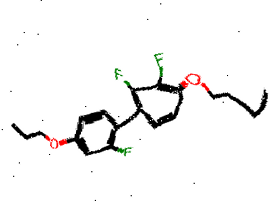 CCCCOc1ccc(-c2ccc(OCCC)cc2F)c(F)c1F